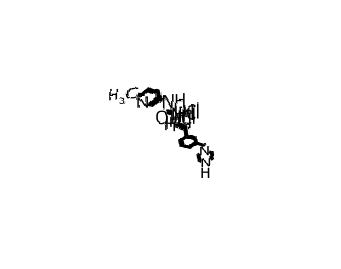 Cc1ccc(NC(=O)NCCc2cccc(CN3CCNCC3)c2)cn1.Cl.Cl.Cl